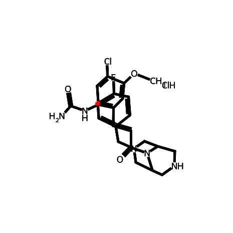 COc1cc(C=CC(=O)N2C3CNCC2CN(Cc2ccc(F)cc2)C3)c(NC(N)=O)cc1Cl.Cl